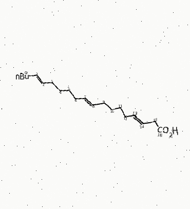 CCCCC=CCCCCC=CCCCCC=CCC(=O)O